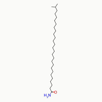 CC(C)CCCCCCCCCCCCCCCCCCCCCCCCC(N)=O